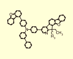 CCC1(C)c2ncc(-c3ccc(N(c4ccc(-c5cccc6oc7ccccc7c56)cc4)c4cccc(-c5ccccc5)c4)cc3)cc2-c2ccc3c(oc4ccccc43)c21